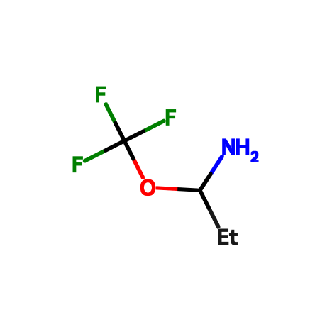 CCC(N)OC(F)(F)F